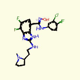 CN1CCCC1CCNc1nc2c(F)c(F)cc(/C(=N/O)Nc3ccc(F)c(Cl)c3)c2[nH]1